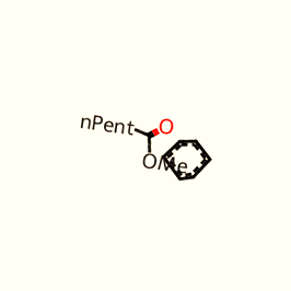 CCCCCC(=O)OC.c1ccccc1